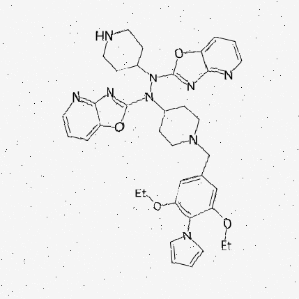 CCOc1cc(CN2CCC(N(c3nc4ncccc4o3)N(c3nc4ncccc4o3)C3CCNCC3)CC2)cc(OCC)c1-n1cccc1